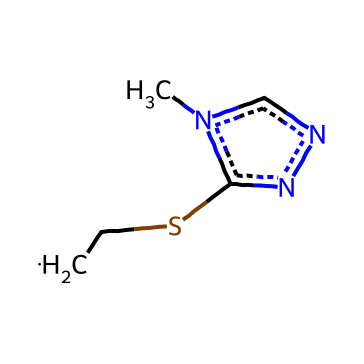 [CH2]CSc1nncn1C